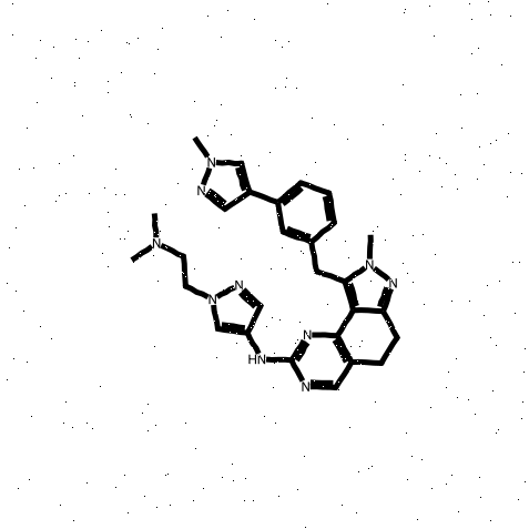 CN(C)CCn1cc(Nc2ncc3c(n2)-c2c(nn(C)c2Cc2cccc(-c4cnn(C)c4)c2)CC3)cn1